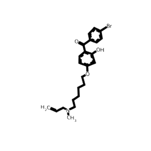 C=CCN(C)CCCCCCOc1ccc(C(=O)c2ccc(Br)cc2)c(O)c1